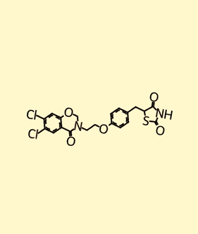 O=C1NC(=O)C(Cc2ccc(OCCN3COc4cc(Cl)c(Cl)cc4C3=O)cc2)S1